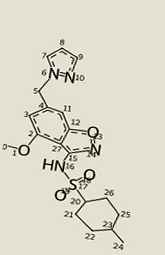 COc1cc(Cn2cccn2)cc2onc(NS(=O)(=O)C3CCC(C)CC3)c12